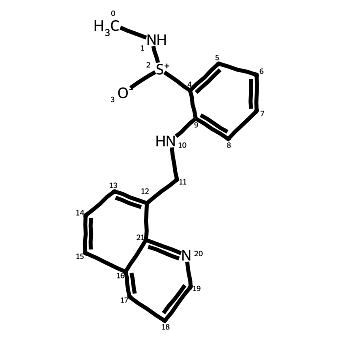 CN[S+]([O-])c1ccccc1NCc1cccc2cccnc12